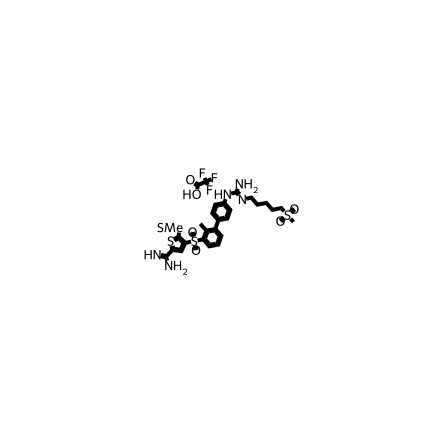 CSc1sc(C(=N)N)cc1S(=O)(=O)c1cccc(-c2ccc(NC(N)=NCCCCCS(C)(=O)=O)cc2)c1C.O=C(O)C(F)(F)F